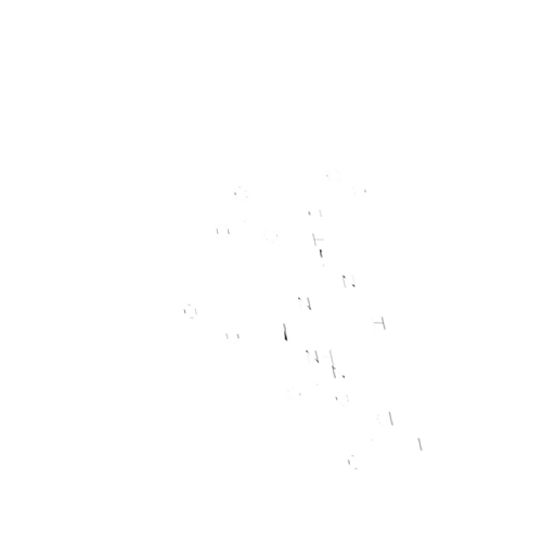 C=CCOC(=O)Oc1c(C)c2c(c3c1CC1[C@@H]4c5c(cc(C)c(OC)c5OCOC)C[C@@H]([C@H](C#N)N1[C@H]3CNC(=O)OCC(Cl)(Cl)CI)N4C)OCO2